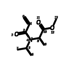 C=CC(=O)N(C(C)C)C(C)C(=O)OC